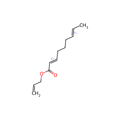 C=CCOC(=O)/C=C/CCC/C=C/C